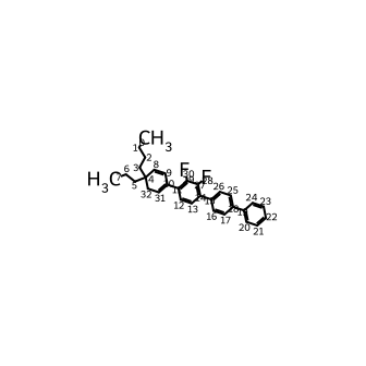 CCCCC1(CCC)C=CC(c2ccc(-c3ccc(-c4ccccc4)cc3)c(F)c2F)=CC1